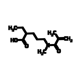 C=C(C)C(=O)N(C)CCCC(CC)C(=O)O